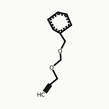 C#CCOCOCc1ccccc1